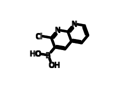 OB(O)c1cc2cccnc2nc1Cl